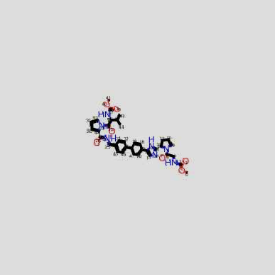 COC(=O)NCC(=O)N1CCC[C@H]1c1ncc(-c2ccc(-c3ccc(CNC(=O)[C@@H]4CCCN4C(=O)[C@@H](NC(=O)OC)C(C)C)cc3)cc2)[nH]1